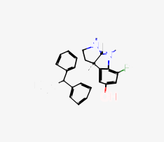 CN1CC[C@@]2(C)c3cc(O)cc(Br)c3N(C)[C@@H]12.O=C(O)C(c1ccccc1)c1ccccc1